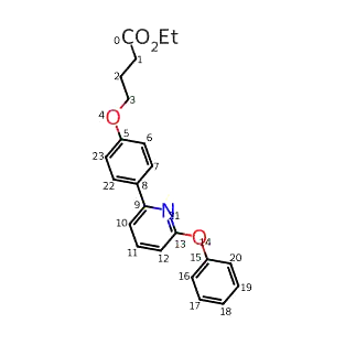 CCOC(=O)CCCOc1ccc(-c2cccc(Oc3ccccc3)n2)cc1